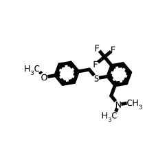 COc1ccc(CSc2c(CN(C)C)cccc2C(F)(F)F)cc1